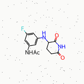 CC(=O)Nc1cc(F)cc(NC2CCC(=O)NC2=O)c1